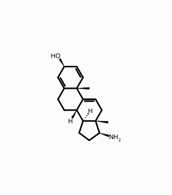 C[C@]12C=C[C@H](O)C=C1CC[C@@H]1C2=CC[C@]2(C)[C@@H](N)CC[C@@H]12